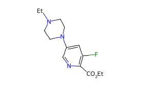 CCOC(=O)c1ncc(N2CCN(CC)CC2)cc1F